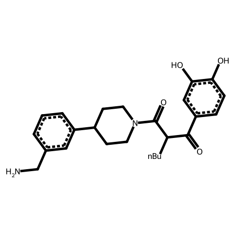 CCCCC(C(=O)c1ccc(O)c(O)c1)C(=O)N1CCC(c2cccc(CN)c2)CC1